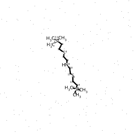 C[Si](C)(C)CCSCCNCCSCC[Si](C)(C)C